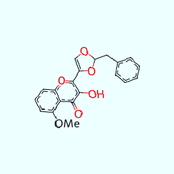 COc1cccc2oc(C3=COC(Cc4ccccc4)O3)c(O)c(=O)c12